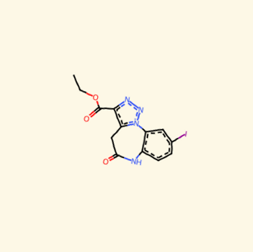 CCOC(=O)c1nnn2c1CC(=O)Nc1ccc(I)cc1-2